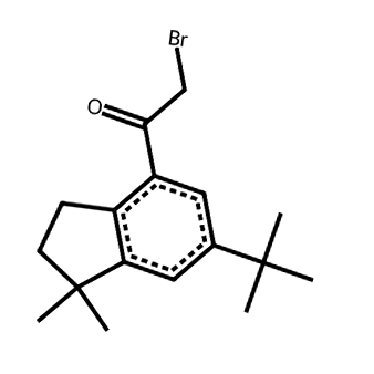 CC(C)(C)c1cc(C(=O)CBr)c2c(c1)C(C)(C)CC2